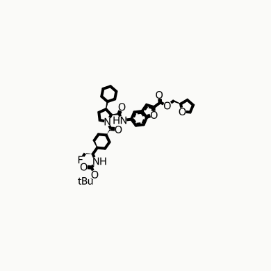 CC(C)(C)OC(=O)N[C@H](CF)[C@H]1CC[C@H](C(=O)N2CC[C@@H](C3CCCCC3)[C@H]2C(=O)Nc2ccc3oc(C(=O)OC[C@H]4CCCO4)cc3c2)CC1